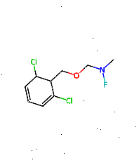 CN(F)COCC1C(Cl)=CC=CC1Cl